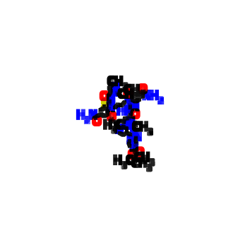 CCn1nc(C)cc1C(=O)/N=c1\sc2cc(C(N)=O)cc(OCCCN3CCC(c4nnc5n4CCN(C(=O)OC(C)(C)C)C5)CC3)c2n1C/C=C/Cn1c(NC(=O)c2cc(C)nn2CC)nc2cc(C(N)=O)cc(OC)c21